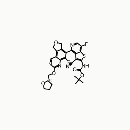 CC(C)(C)OC(=O)Nc1sc2c(F)cnc(-c3c4c(c5cnc(OC[C@H]6CCCO6)nc5c3F)COC4)c2c1C#N